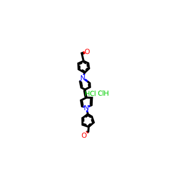 Cl.Cl.O=Cc1ccc(N2C=CC(=C3C=CN(c4ccc(C=O)cc4)C=C3)C=C2)cc1